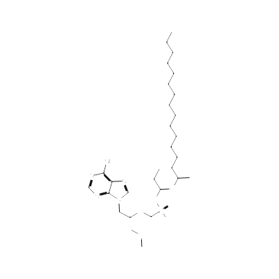 CCCCCCCCCCCCCCC(C)OC(CC)OP(=O)(O)CO[C@H](COC)Cn1cnc2c(N)ncnc21